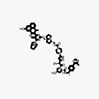 Cc1ncsc1-c1ccc([C@H](C)NC(=O)[C@@H]2C[C@@H](O)CN2C(=O)[C@H](c2cc(N3CCN(C(=O)OC[C@@H]4CC[C@@]5(COc6nc(N7CC8CCC(C7)N8)c7cnc8c(c7n6)C(C)c6cccc7cc(O)cc-8c67)CCCN45)CC3)no2)C(C)C)cc1